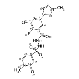 Cn1cnc(-c2cc(Cl)c(F)c(C(=O)NNS(=O)(=O)c3ccn(C)c(=O)c3)c2)c1